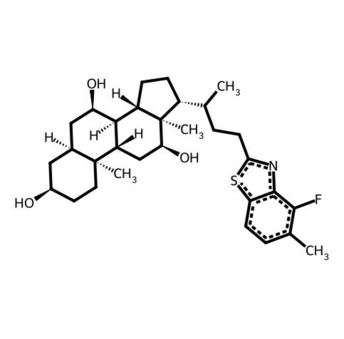 Cc1ccc2sc(CCC(C)[C@H]3CC[C@H]4[C@@H]5[C@H](O)C[C@@H]6C[C@H](O)CC[C@]6(C)[C@H]5C[C@H](O)[C@]34C)nc2c1F